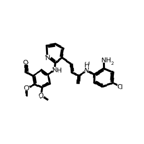 C=C(/C=C/c1cccnc1Nc1cc(C=O)c(OC)c(OC)c1)Nc1ccc(Cl)cc1N